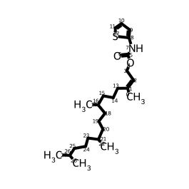 CC(=CCOC(=O)Nc1cccs1)CCCC(C)CCCC(C)CCCC(C)C